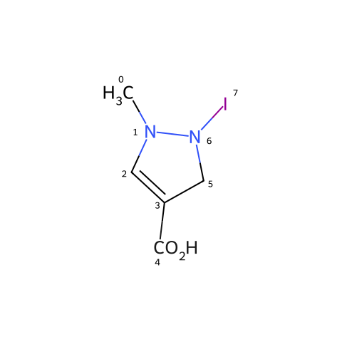 CN1C=C(C(=O)O)CN1I